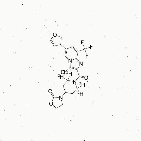 [2H]C1([2H])CC(N2CCOC2=O)CC([2H])([2H])N1C(=O)c1nc2c(C(F)(F)F)cc(-c3ccoc3)cn2c1Cl